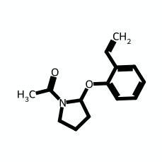 C=Cc1ccccc1OC1CCCN1C(C)=O